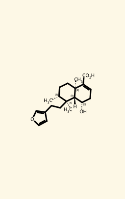 C[C@@H]1CC[C@@]2(C)C(C(=O)O)=CC[C@H](O)[C@@H]2[C@@]1(C)CCc1ccoc1